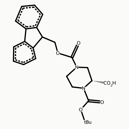 CC(C)(C)OC(=O)N1CCN(C(=O)OCC2c3ccccc3-c3ccccc32)C[C@@H]1C(=O)O